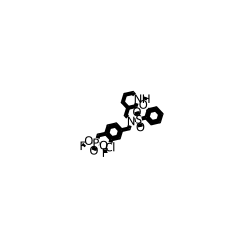 COc1ccccc1S(=O)(=O)N(Cc1ccc(CP(=O)(OF)OF)c(Cl)c1)CC1CCCNC1